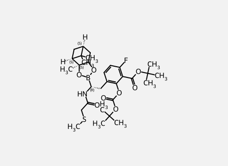 CSCC(=O)N[C@@H](Cc1ccc(F)c(C(=O)OC(C)(C)C)c1OC(=O)OC(C)(C)C)B1OC2C[C@@H]3C[C@@H](C3(C)C)[C@]2(C)O1